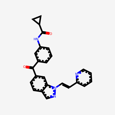 O=C(c1cccc(NC(=O)C2CC2)c1)c1ccc2cnn(C=Cc3ccccn3)c2c1